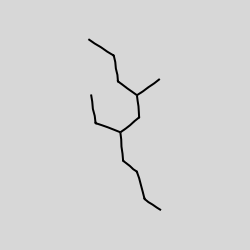 CCCCC(CC)CC(C)CCC